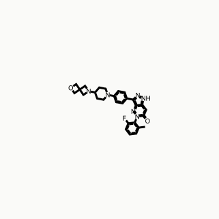 Cc1cccc(F)c1-n1nc2c(-c3ccc(N4CCC(N5CC6(COC6)C5)CC4)cc3)n[nH]c2cc1=O